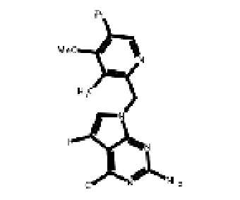 COc1c(C(C)C)cnc(Cn2cc(I)c3c(Cl)nc(N)nc32)c1C